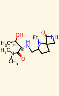 CCN1C(CN[C@H](C(=O)N(C)C)[C@@H](C)O)CCC12CNC2=O